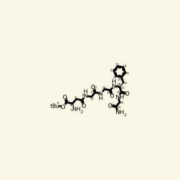 CC(C)(C)OC(=O)[C@@H](N)CC(=O)NCC(=O)NCC(=O)N[C@@H](Cc1ccccc1)C(=O)NCC(N)=O